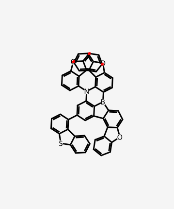 c1ccc2c(c1)oc1cccc(N3c4cc(-c5cccc6sc7ccccc7c56)cc5c4B(c4ccc6oc7ccccc7c6c4-5)c4ccc5oc6ccccc6c5c43)c12